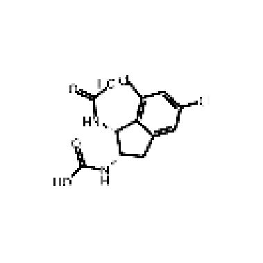 O=C(O)N[C@H]1Cc2cc(Cl)cc(Cl)c2[C@H]1NC(=O)O